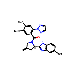 C=C1C[C@@H](c2nc3cc(C(C)(C)C)ccc3[nH]2)N(C(=O)c2cc(OC)c(OC)cc2-n2nccn2)C1